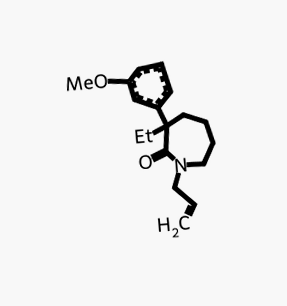 C=CCN1CCCCC(CC)(c2cccc(OC)c2)C1=O